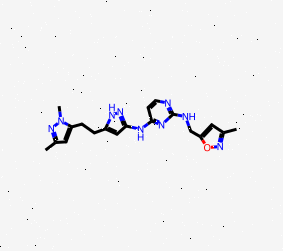 Cc1cc(CNc2nccc(Nc3cc(CCc4cc(C)nn4C)[nH]n3)n2)on1